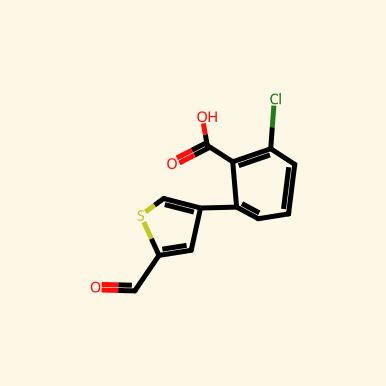 O=Cc1cc(-c2cccc(Cl)c2C(=O)O)cs1